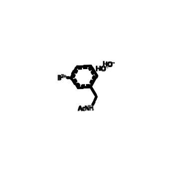 [B+2]c1cccc(CNC(C)=O)c1.[OH-].[OH-]